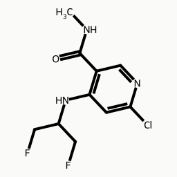 CNC(=O)c1cnc(Cl)cc1NC(CF)CF